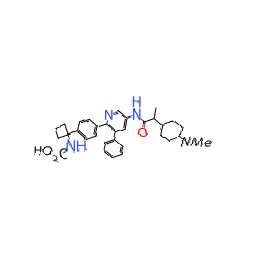 CNC1CCC(C(C)C(=O)Nc2cnc(-c3ccc(C4(NC(=O)O)CCC4)cc3)c(-c3ccccc3)c2)CC1